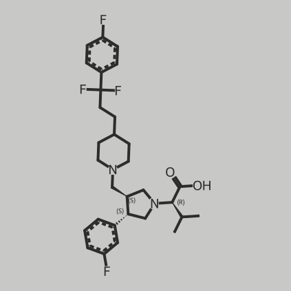 CC(C)[C@H](C(=O)O)N1C[C@H](CN2CCC(CCC(F)(F)c3ccc(F)cc3)CC2)[C@@H](c2cccc(F)c2)C1